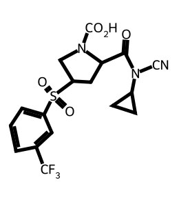 N#CN(C(=O)C1CC(S(=O)(=O)c2cccc(C(F)(F)F)c2)CN1C(=O)O)C1CC1